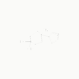 N#CC1(c2ccsc2)CCC(O)(O)CC1